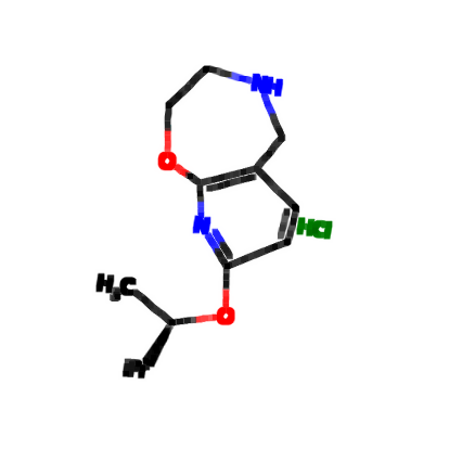 CC(C)[C@@H](C)Oc1ccc2c(n1)OCCNC2.Cl